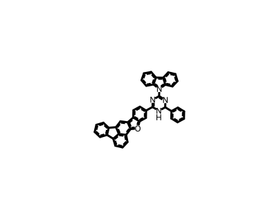 c1ccc(C2N=C(n3c4ccccc4c4ccccc43)N=C(c3ccc4c(c3)oc3c5cccc6c5c(cc43)-c3ccccc3-6)N2)cc1